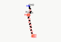 CCC(C)(COCCCNC=O)COP(=O)(O)OCCOCCOCCOCCOCCOCCOP(=O)(O)O